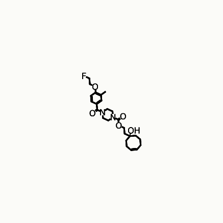 Cc1cc(C(=O)N2CCN(C(=O)OCC[C@]3(O)CC/C=C\CCC3)CC2)ccc1OCCF